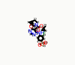 Cc1c(Nc2ccc(S(C)(=O)=O)cc2F)ncnc1OCC12CCN(C(=O)OC3(C)CC3)CC1C2